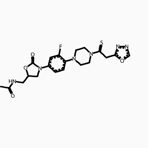 CC(=O)NCC1CN(c2ccc(N3CCN(C(=S)Cc4nnco4)CC3)c(F)c2)C(=O)O1